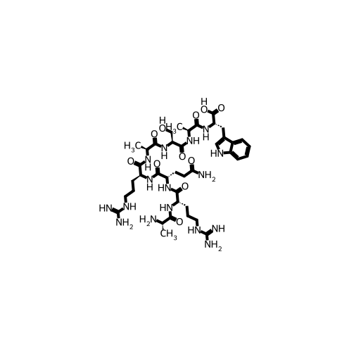 C[C@H](N)C(=O)N[C@@H](CCCNC(=N)N)C(=O)N[C@@H](CCC(N)=O)C(=O)N[C@@H](CCCNC(=N)N)C(=O)N[C@@H](C)C(=O)N[C@@H](CO)C(=O)N[C@@H](C)C(=O)N[C@@H](Cc1c[nH]c2ccccc12)C(=O)O